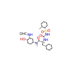 Cc1ccccc1S(=O)(=O)NC(=O)N[C@@H](Cc1ccccc1)C(=O)N(C)c1ccc(O)c(NC=O)c1